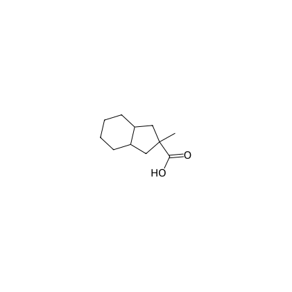 CC1(C(=O)O)CC2CCCCC2C1